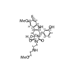 COCCNCCN1C(=O)N2C(c3cccc(O)c3)c3[nH]c4cc(F)c(OC)cc4c3CC2(C)C1=O